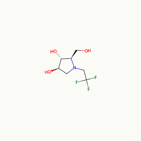 OC[C@@H]1[C@@H](O)[C@H](O)CN1CC(F)(F)F